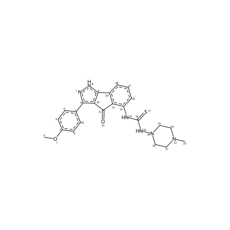 COc1ccc(-c2n[nH]c3c2C(=O)c2c(NC(=S)NN4CCN(C)CC4)cccc2-3)cc1